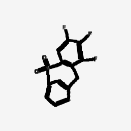 O=S1(=O)c2cc[c]c(c2)Cc2c1cc(F)c(F)c2F